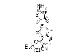 CCC(CC)Oc1c(C#N)cnc2ccc(CC3SC(N)=NC3=O)cc12